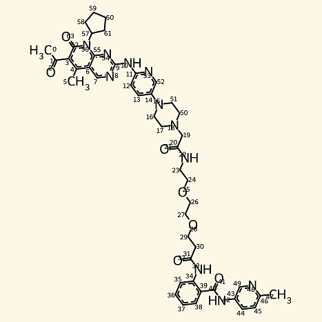 CC(=O)c1c(C)c2cnc(Nc3ccc(N4CCN(CC(=O)NCCOCCOCCC(=O)Nc5ccccc5C(=O)Nc5ccc(C)nc5)CC4)cn3)nc2n(C2CCCC2)c1=O